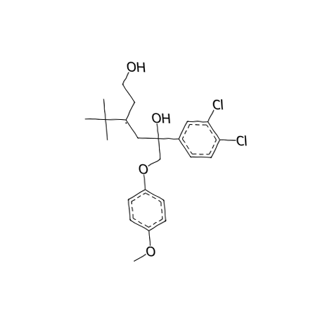 COc1ccc(OCC(O)(C[C](CCO)C(C)(C)C)c2ccc(Cl)c(Cl)c2)cc1